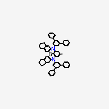 Cc1cc2c3c(c1)N(c1cc(-c4ccccc4)cc(-c4ccccc4)c1)c1cc4c(cc1B3c1cc3c(cc1N2c1cc(-c2ccccc2)cc(-c2ccccc2)c1)CCCC3)CCCC4